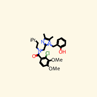 COc1ccc(C(=O)N(CCC(C)C)Cc2nc(C)c(C)n2Cc2ccccc2O)c(Cl)c1OC